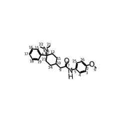 COc1ccc(NC(=O)CC2CCC(c3ccccc3)(N(C)C)CC2)cc1